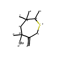 C=C1CSC(C)C(C)(C)CC1(C)C(C)(C)C